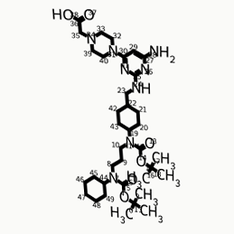 CC(C)(C)OC(=O)N(CCCN(C(=O)OC(C)(C)C)C1CCC(CNc2nc(N)cc(N3CCN(CC(=O)O)CC3)n2)CC1)C1CCCCC1